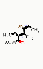 C=C/C(C(=O)OC)=C(C)\C(Br)=C/C